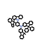 CC1(C)c2ccccc2-c2ccc(N(c3ccc4c(c3)-n3c5ccccc5c5cccc(c53)C43c4ccccc4-c4ccccc43)c3ccc4c(c3)C(c3ccccc3)(c3ccccc3)c3ccccc3-4)cc21